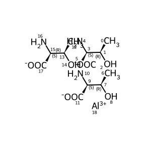 C[C@@H](O)[C@H](N)C(=O)[O-].C[C@@H](O)[C@H](N)C(=O)[O-].C[C@@H](O)[C@H](N)C(=O)[O-].[Al+3]